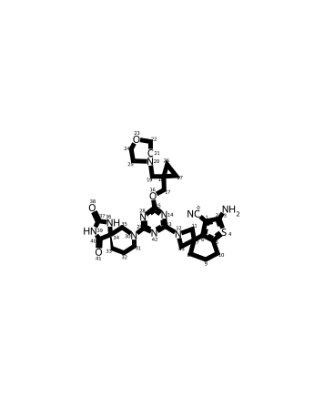 N#Cc1c(N)sc2c1C1(CCC2)CN(c2nc(OCC3(CN4CCOCC4)CC3)nc(N3CCC[C@]4(C3)NC(=O)NC4=O)n2)C1